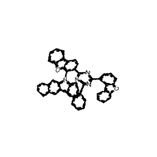 c1ccc(-c2nc(-c3ccc4c(oc5ccccc54)c3-n3c4ccccc4c4cc5ccccc5cc43)nc(-c3cccc4oc5ccccc5c34)n2)cc1